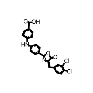 O=C1OC(c2ccc(Nc3ccc(C(=O)O)cc3)cc2)=N/C1=C/c1ccc(Cl)c(Cl)c1